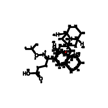 CC(C)O/N=C(\CCC(=O)O)c1nc2ccccc2n([C@H]2C[C@H]3CCC[C@@H](C2)N3C2C[C@H]3CCC[C@@H](C2)C3)c1=O